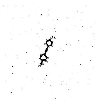 COc1ccc(C#Cc2ccc(C#N)c(F)c2)cc1